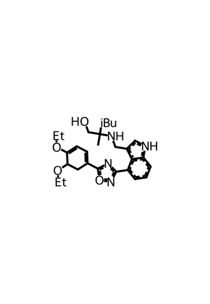 CCOC1=CC=C(c2nc(-c3cccc4[nH]cc(CNC(C)(CO)C(C)CC)c34)no2)CC1OCC